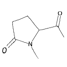 CC(=O)C1CCC(=O)N1C